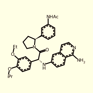 CCOc1cc([C@@H](Nc2ccc3c(N)nccc3c2)C(=O)N2CCC[C@H]2c2cccc(NC(C)=O)c2)ccc1OC(C)C